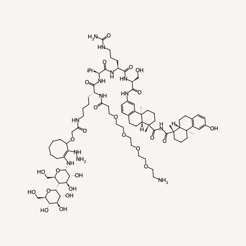 CC(C)[C@H](NC(=O)[C@@H](CCCCNC(=O)COC1CCCCC/C(N[C@H]2O[C@H](CO)C([C@H]3O[C@H](CO)[C@@H](O)[C@H](O)[C@H]3O)[C@H](O)[C@H]2O)=C\1NN)NC(=O)CCOCCOCCOCCOCCN)C(=O)N[C@@H](CCCNC(N)=O)C(=O)N[C@@H](CO)C(=O)Nc1ccc2c(c1)[C@@]1(C)CCC[C@](C)(C(=O)NC(=O)[C@@]3(C)CCC[C@]4(C)c5cc(O)ccc5CC[C@@H]34)[C@@H]1CC2